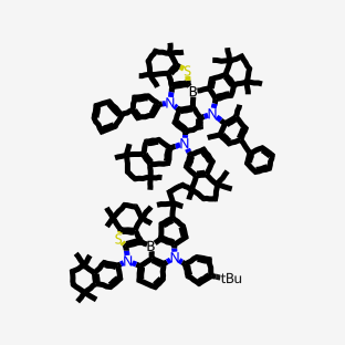 Cc1cc(-c2ccccc2)cc(C)c1N1c2cc3c(cc2B2c4sc5c(c4N(c4ccc(-c6ccccc6)cc4)c4cc(N(c6ccc7c(c6)C(C)(C)CCC7(C)C)c6ccc7c(c6)C(C)(CCC(C)(C)c6ccc8c(c6)B6c9c(cccc9N(c9ccc%10c(c9)C(C)(C)CCC%10(C)C)c9sc%10c(c96)C(C)(C)CCC%10(C)C)N8c6ccc(C(C)(C)C)cc6)CCC7(C)C)cc1c42)C(C)(C)CCC5(C)C)C(C)(C)CCC3(C)C